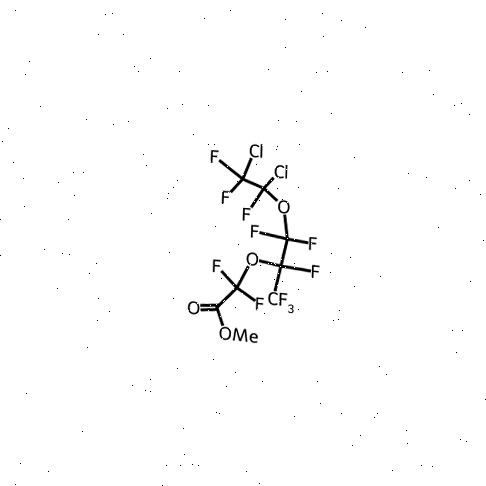 COC(=O)C(F)(F)OC(F)(C(F)(F)F)C(F)(F)OC(F)(Cl)C(F)(F)Cl